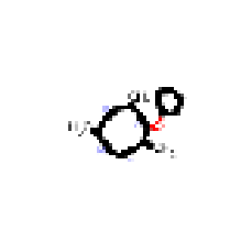 C=C1/C=C\C=C/C(=C)/C(Oc2ccccc2)=C\C(C)/C=C\1